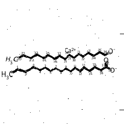 CCCCCCCCCCCCCCCCCC(=O)[O-].CCCCCCCCCCCCCCCCC[O-].[Ca+2]